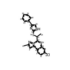 Cc1cc2c3ccc(Cl)cc3nc(C(C)Sc3nc(-c4ccccc4)c[nH]3)n2n1